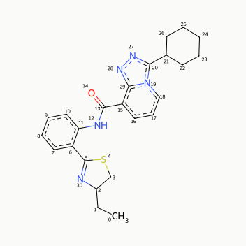 CCC1CSC(c2ccccc2NC(=O)c2cccn3c(C4CCCCC4)nnc23)=N1